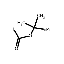 CCCC(C)(C)OC(=O)I